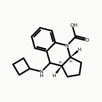 O=C(O)N1c2ccccc2C(NC2CCC2)[C@H]2CCC[C@H]21